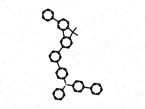 CC1(C)c2ccc(-c3ccccc3)cc2-c2cc(-c3cccc(-c4ccc(N(c5ccccc5)c5ccc(-c6ccccc6)cc5)cc4)c3)ccc21